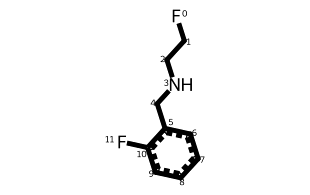 FCCNCc1ccccc1F